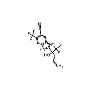 C=CCC(O)(c1nc2cc(C#N)c(C(F)(F)F)cc2[nH]1)C(F)(F)F